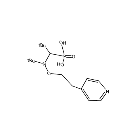 CC(C)(C)C(N(OCCc1ccncc1)C(C)(C)C)P(=O)(O)O